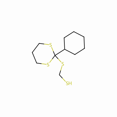 SCSC1(C2CCCCC2)SCCCS1